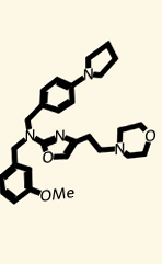 COc1cccc(CN(Cc2ccc(N3CCCC3)cc2)c2nc(CCN3CCOCC3)co2)c1